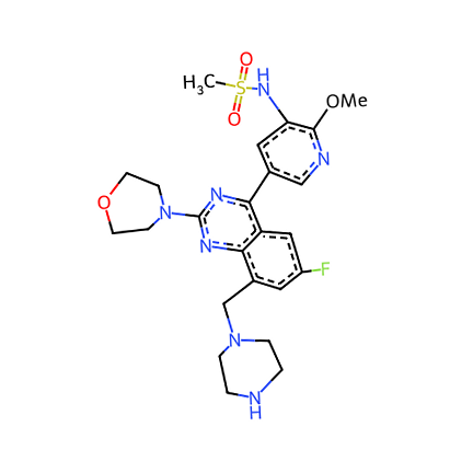 COc1ncc(-c2nc(N3CCOCC3)nc3c(CN4CCNCC4)cc(F)cc23)cc1NS(C)(=O)=O